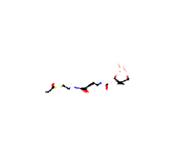 CC(C)CC(=O)SCCNC(=O)CCNC(=O)[C@@H]1OP(=O)(O)OCC1(C)C